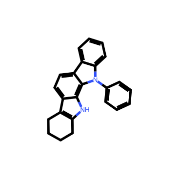 c1ccc(-n2c3ccccc3c3ccc4c5c([nH]c4c32)CCCC5)cc1